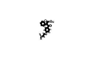 CCCCc1oc2ccccc2c1C(=O)c1ccc(OCCN(C)C)cc1